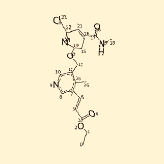 CCOC(=O)/C=C/c1cncc(COC2CC(C(=O)NC)=CC(Cl)=N2)c1C